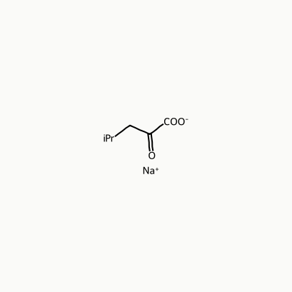 CC(C)CC(=O)C(=O)[O-].[Na+]